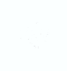 COc1c(C)cc(C=O)c(-c2c(C(=O)O)cc(C)c(OC)c2C)c1C